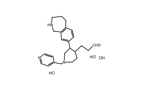 Cl.Cl.Cl.O=CCCC1CCN(Cc2ccncc2)CC1c1ccc2c(c1)CNCCC2